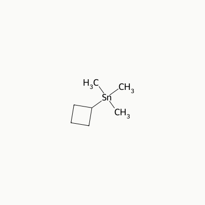 [CH3][Sn]([CH3])([CH3])[CH]1CCC1